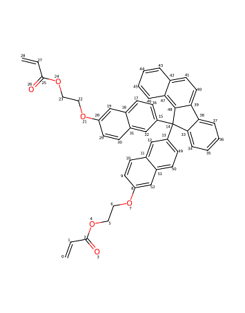 C=CC(=O)OCCOc1ccc2cc(C3(c4ccc5cc(OCCOC(=O)C=C)ccc5c4)c4ccccc4-c4ccc5ccccc5c43)ccc2c1